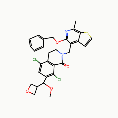 COC(c1cc(Cl)c2c(c1Cl)C(=O)N(Cc1c(OCc3ccccc3)nc(C)c3sccc13)CC2)C1COC1